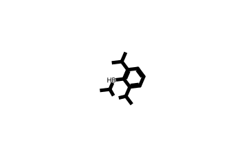 CC(C)Bc1c(C(C)C)cccc1C(C)C